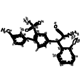 Cc1ncc(-c2ccc(C(C(N)=O)c3ccccc3Cl)cc2S(N)(=O)=O)s1